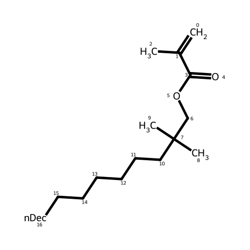 C=C(C)C(=O)OCC(C)(C)CCCCCCCCCCCCCCCC